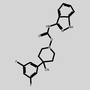 N#CC1(c2cc(F)cc(F)c2)CCN(OC(=O)Nc2n[nH]c3ccccc23)CC1